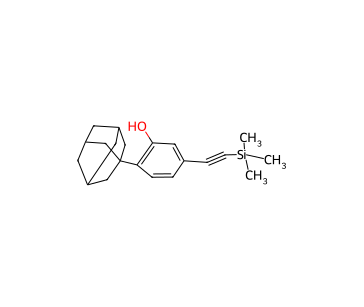 C[Si](C)(C)C#Cc1ccc(C23CC4CC(CC(C4)C2)C3)c(O)c1